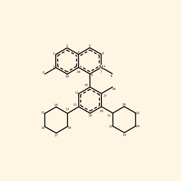 Cc1ccc2cc[n+](C)c(-c3cc(C4CCCCC4)cc(C4CCCCC4)c3C)c2c1